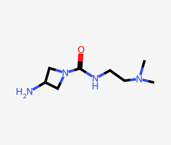 CN(C)CCNC(=O)N1CC(N)C1